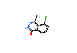 Cc1n[nH]c(=O)c2cccc(Cl)c12